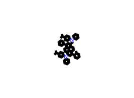 CC(C)c1ccc(N(Cc2cc(-c3ccccc3)c3ccc4c(N(c5ccccc5)c5ccc(C(C)C)cc5)cc(C5C=CC=CC5C)c5ccc2c3c54)c2ccccc2)cc1